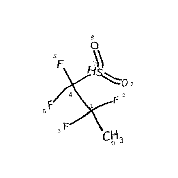 CC(F)(F)C(F)(F)[SH](=O)=O